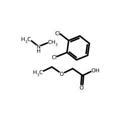 CCOCC(=O)O.CNC.Clc1ccccc1Cl